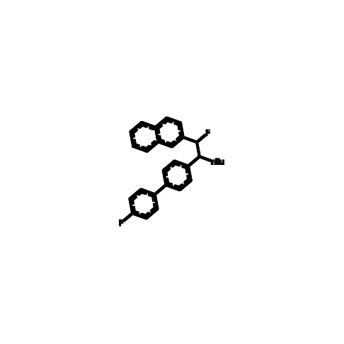 CCCCC(c1ccc(-c2ccc(F)cc2)cc1)C(F)c1ccc2ccccc2c1